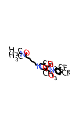 CN(C)C(=O)CCCCCN1CC2(C)OC(C)(C1)C1C(=O)N(c3ccc(C#N)c(C(F)(F)F)c3)C(=O)C12